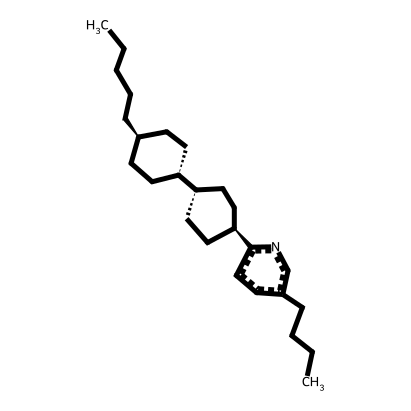 CCCCC[C@H]1CC[C@H]([C@H]2CC[C@H](c3ccc(CCCC)cn3)CC2)CC1